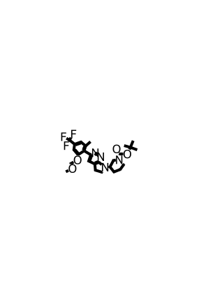 COCOc1cc(C(F)(F)F)cc(C)c1-c1cc2c(nn1)N([C@@H]1CCCN(C(=O)OC(C)(C)C)C1)CC2